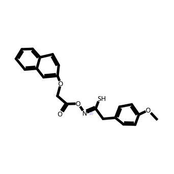 COc1ccc(C/C(S)=N/OC(=O)COc2ccc3ccccc3c2)cc1